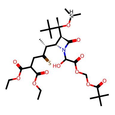 CCOC(=O)C(CC(=S)[C@H](C)[C@@H]1[C@@H]([C@@](C)(O[SiH](C)C)C(C)(C)C)C(=O)N1C(O)C(=O)OCOC(=O)C(C)(C)C)C(=O)OCC